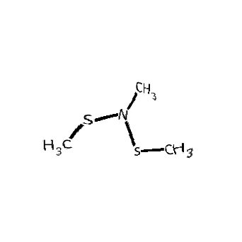 CSN(C)SC